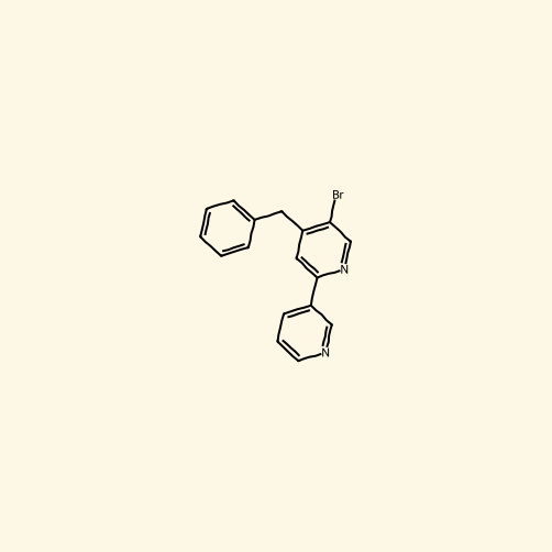 Brc1cnc(-c2cccnc2)cc1Cc1ccccc1